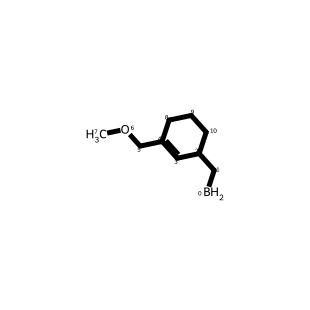 BCC1C=C(COC)CCC1